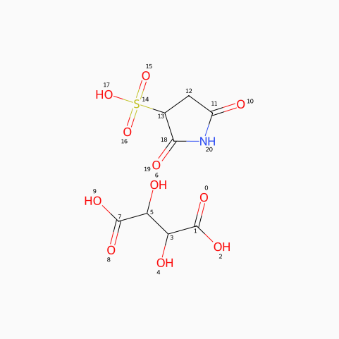 O=C(O)C(O)C(O)C(=O)O.O=C1CC(S(=O)(=O)O)C(=O)N1